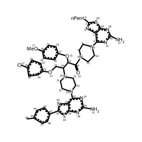 CCCCCc1nc2c(N3CCN(C(=O)C(Oc4ccc(OC)cc4)C(COc4ccc(Cl)cc4)N4CCN(c5nc(N)nc6sc(-c7ccc(C)cc7)nc56)CC4)CC3)nc(N)nc2s1